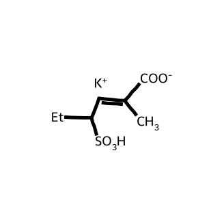 CCC(/C=C(\C)C(=O)[O-])S(=O)(=O)O.[K+]